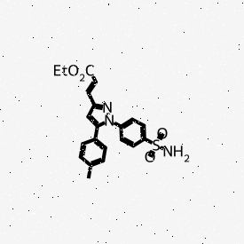 CCOC(=O)/C=C/c1cc(-c2ccc(C)cc2)n(-c2ccc(S(N)(=O)=O)cc2)n1